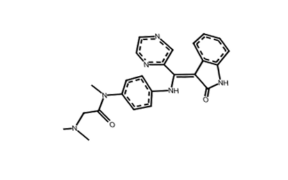 CN(C)CC(=O)N(C)c1ccc(N/C(=C2\C(=O)Nc3ccccc32)c2cnccn2)cc1